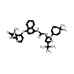 Cn1c(=O)[nH]c2nccc(Oc3ccc(NC(=O)Nc4cc(C(C)(C)C)nn4C4=CC=CC(C)(P)C=C4)c4ccccc34)c21